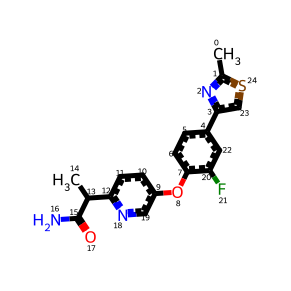 Cc1nc(-c2ccc(Oc3ccc(C(C)C(N)=O)nc3)c(F)c2)cs1